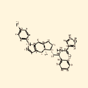 C[C@]12Cc3cnn(-c4ccc(F)cc4)c3C=C1CC[C@@H]2CC(NC(=O)c1cnon1)c1ccccc1